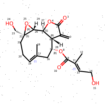 C=C1C(=O)O[C@H]2[C@H]1[C@H](OC(=O)/C(C)=C/CO)C/C(C)=C/CC[C@@]1(CO)O[C@H]21